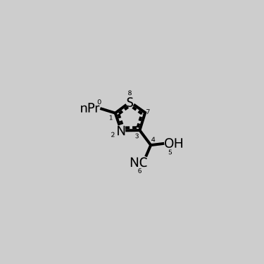 CCCc1nc(C(O)C#N)cs1